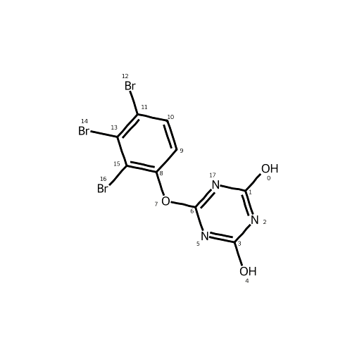 Oc1nc(O)nc(Oc2ccc(Br)c(Br)c2Br)n1